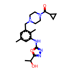 Cc1cc(CN2CCN(C(=O)C3CC3)CC2)c(C)c(Nc2nnc(C(C)O)o2)c1